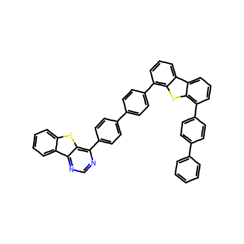 c1ccc(-c2ccc(-c3cccc4c3sc3c(-c5ccc(-c6ccc(-c7ncnc8c7sc7ccccc78)cc6)cc5)cccc34)cc2)cc1